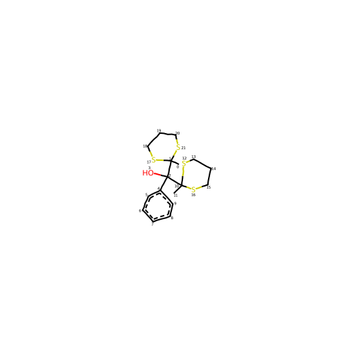 CC1(C(O)(c2ccccc2)C2(C)SCCCS2)SCCCS1